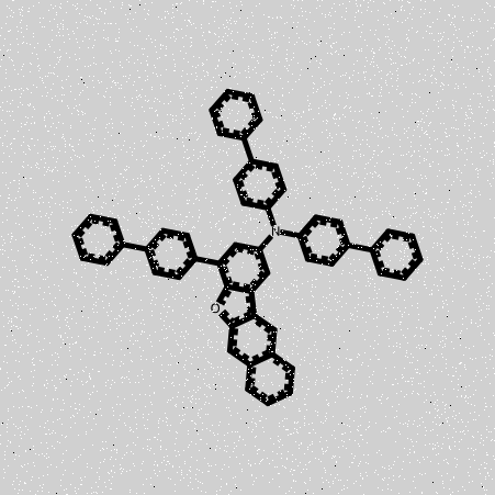 c1ccc(-c2ccc(-c3cc(N(c4ccc(-c5ccccc5)cc4)c4ccc(-c5ccccc5)cc4)cc4c3oc3cc5ccccc5cc34)cc2)cc1